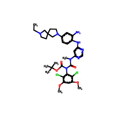 CCN1CCC2(CCN(c3ccc(Nc4cc(N(C)C(=O)N(C(=O)OC(C)(C)C)c5c(Cl)c(OC)cc(OC)c5Cl)ncn4)c(N)c3)C2)C1